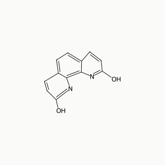 Oc1ccc2ccc3ccc(O)nc3c2n1